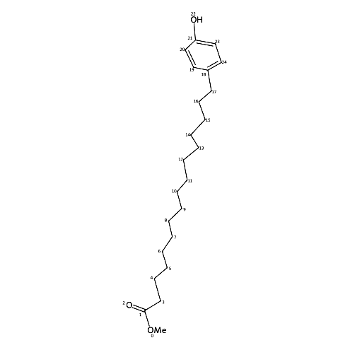 COC(=O)CCCCCCCCCCCCCCCc1ccc(O)cc1